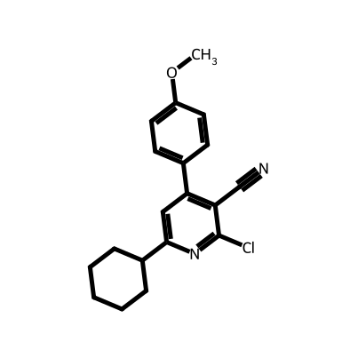 COc1ccc(-c2cc(C3CCCCC3)nc(Cl)c2C#N)cc1